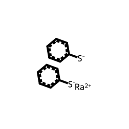 [Ra+2].[S-]c1ccccc1.[S-]c1ccccc1